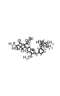 CSc1c2sc(C3=C(C(=O)O)N4C(=O)[C@H]([C@@H](C)O)[C@H]4[C@H]3C)c[n+]2cn1Cc1cccc(O[Si](C)(C)C(C)(C)C)c1.[Br-]